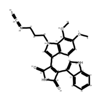 COc1ccc2c(C3=C(c4c[nH]c5ccccc45)C(=O)NC3=O)cn(CCCN=C=S)c2c1OC